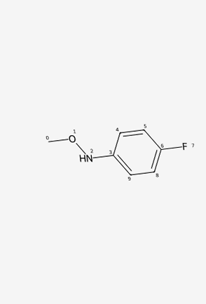 CONc1ccc(F)cc1